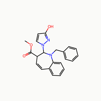 COC(=O)C1C=Cc2ccccc2N(Cc2ccccc2)C1n1ccc(O)n1